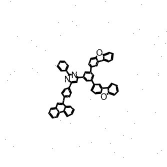 c1ccc(-c2nc(-c3ccc(-c4cc5ccccc5c5ccccc45)cc3)cc(-c3cc(-c4ccc5oc6ccccc6c5c4)cc(-c4ccc5oc6ccccc6c5c4)c3)n2)cc1